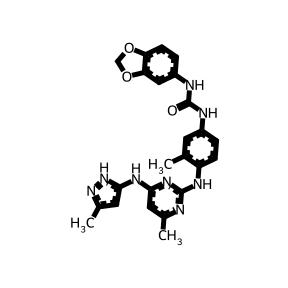 Cc1cc(Nc2cc(C)nc(Nc3ccc(NC(=O)Nc4ccc5c(c4)OCO5)cc3C)n2)[nH]n1